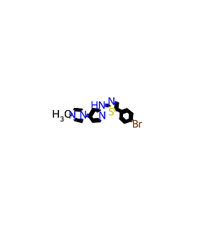 CN1CCN(c2ccnc(Nc3ncc(-c4ccc(Br)cc4)s3)c2)CC1